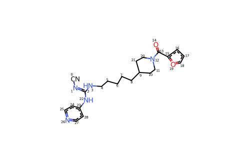 N#C/N=C(\NCCCCCC1CCN(C(=O)c2ccco2)CC1)Nc1ccncc1